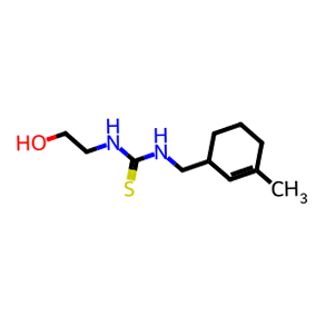 CC1=CC(CNC(=S)NCCO)CCC1